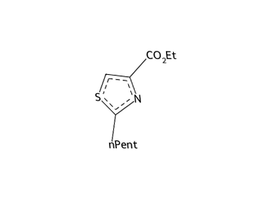 CCCCCc1nc(C(=O)OCC)cs1